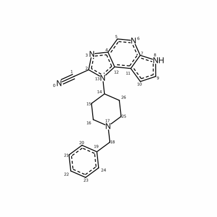 N#Cc1nc2cnc3[nH]ccc3c2n1C1CCN(Cc2ccccc2)CC1